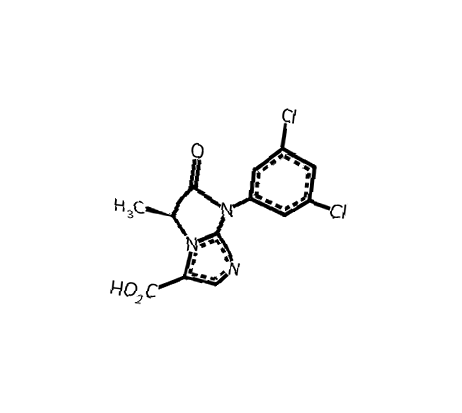 C[C@H]1C(=O)N(c2cc(Cl)cc(Cl)c2)c2ncc(C(=O)O)n21